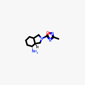 Cc1noc(N2CC3CCC[C@@H](N)[C@@H]3C2)n1